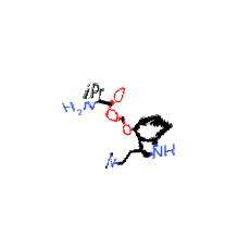 CC(C)C(N)C(=O)OCOc1cccc2[nH]cc(CCN(C)C)c12